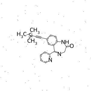 C[Si](C)(C)C#Cc1ccc2c(c1)C(c1ccccn1)=NCC(=O)N2